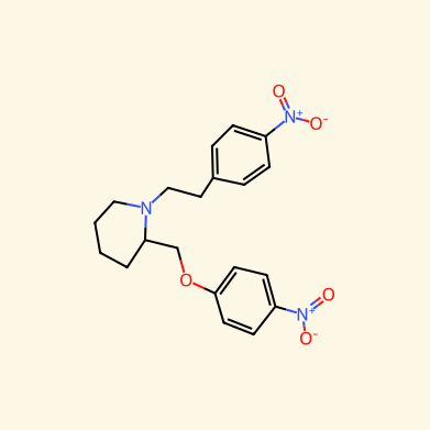 O=[N+]([O-])c1ccc(CCN2CCCCC2COc2ccc([N+](=O)[O-])cc2)cc1